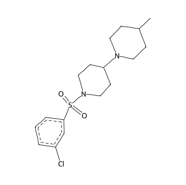 CC1CCN(C2CCN(S(=O)(=O)c3cccc(Cl)c3)CC2)CC1